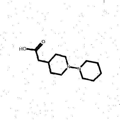 O=C(O)CC1CCN(N2CCCCC2)CC1